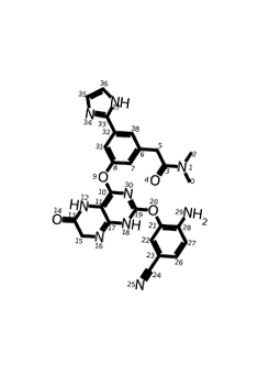 CN(C)C(=O)Cc1cc(OC2=C3NC(=O)CN=C3NC(Oc3cc(C#N)ccc3N)=N2)cc(-c2ncc[nH]2)c1